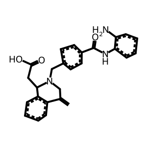 C=C1CN(Cc2ccc(C(=O)Nc3ccccc3N)cc2)C(CC(=O)O)c2ccccc21